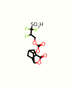 O=C(OCC(F)C(F)(F)S(=O)(=O)O)OC1C2CC3C(=O)OC1C3C2